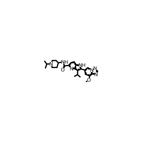 COc1cc(-c2[nH]c3ccc(C(=O)NC4CCN(C(C)C)CC4)nc3c2C(C)C)cn2ncnc12